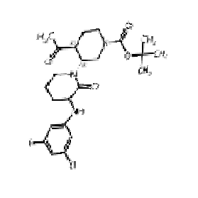 CC(=O)[C@H]1CCN(C(=O)OC(C)(C)C)C[C@@H]1N1CCCC(Nc2cc(F)cc(Cl)c2)C1=O